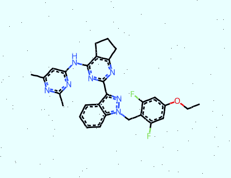 CCOc1cc(F)c(Cn2nc(-c3nc4c(c(Nc5cc(C)nc(C)n5)n3)CCC4)c3ccccc32)c(F)c1